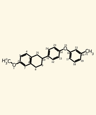 COc1ccc2c(c1)CCC(c1ccc(Oc3cccc(C)c3)cc1)C2